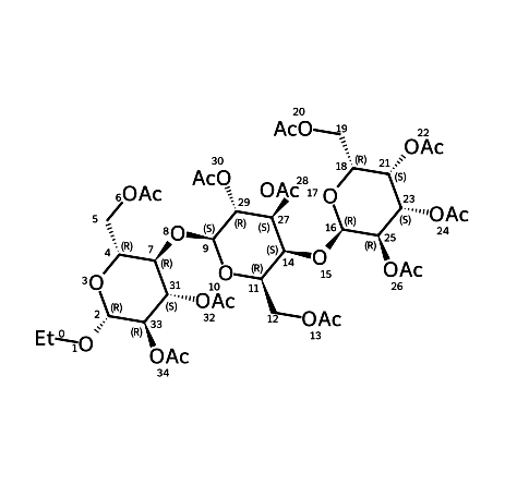 CCO[C@@H]1O[C@H](COC(C)=O)[C@@H](O[C@@H]2O[C@H](COC(C)=O)[C@H](O[C@H]3O[C@H](COC(C)=O)[C@H](OC(C)=O)[C@H](OC(C)=O)[C@H]3OC(C)=O)[C@H](OC(C)=O)[C@H]2OC(C)=O)[C@H](OC(C)=O)[C@H]1OC(C)=O